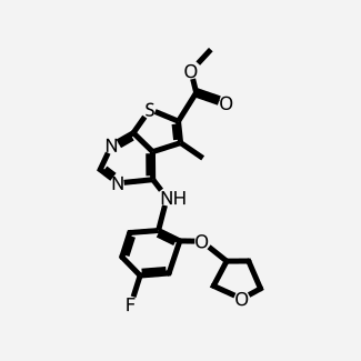 COC(=O)c1sc2ncnc(Nc3ccc(F)cc3OC3CCOC3)c2c1C